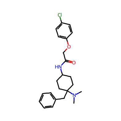 CN(C)C1(Cc2ccccc2)CCC(NC(=O)COc2ccc(Cl)cc2)CC1